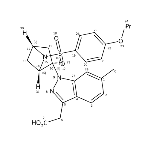 Cc1ccc2c(CC(=O)O)nn([C@@H]3C[C@H]4C[C@@H]3N4S(=O)(=O)c3ccc(OC(C)C)cc3)c2c1